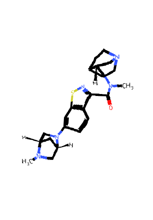 CN1C[C@@H]2C[C@H]1CN2c1ccc2c(C(=O)N(C)[C@H]3CN4CCC3CC4)nsc2c1